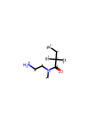 CCC(CC)(CC(C)C)C(=O)N(C)CCN